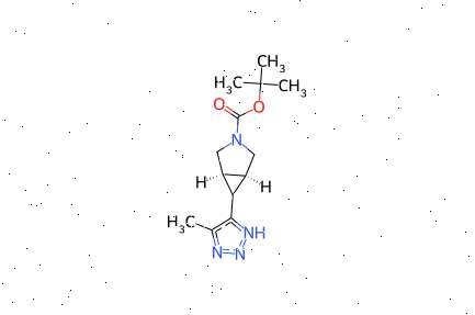 Cc1nn[nH]c1C1[C@H]2CN(C(=O)OC(C)(C)C)C[C@@H]12